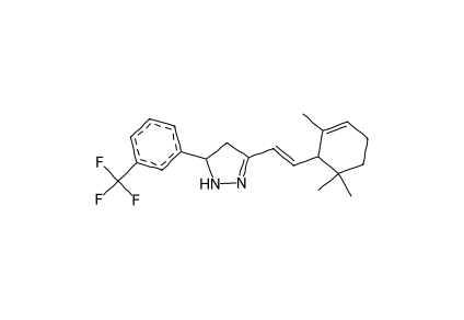 CC1=CCCC(C)(C)C1/C=C/C1=NNC(c2cccc(C(F)(F)F)c2)C1